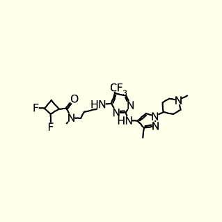 Cc1nn(C2CCN(C)CC2)cc1Nc1ncc(C(F)(F)F)c(NCCCN(C)C(=O)C2CC(F)C2F)n1